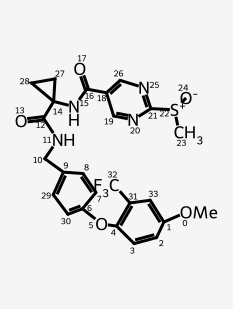 COc1ccc(Oc2ccc(CNC(=O)C3(NC(=O)c4cnc([S+](C)[O-])nc4)CC3)cc2)c(C(F)(F)F)c1